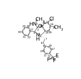 CNC(=O)[C@@H](N[C@@H](CCc1ccc(C(F)(F)F)cc1)c1ccc(Cl)c(C)c1)c1ccccc1